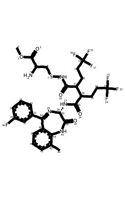 COC(=O)C(N)CSNC(=O)C(CCC(F)(F)F)C(CCC(F)(F)F)C(=O)N[C@H]1N=C(c2cccc(F)c2)c2cccc(C)c2NC1=O